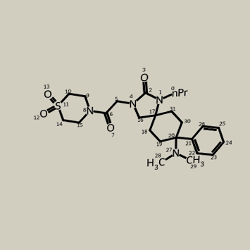 CCCN1C(=O)N(CC(=O)N2CCS(=O)(=O)CC2)CC12CCC(c1ccccc1)(N(C)C)CC2